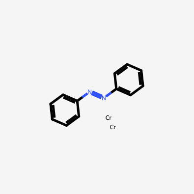 [Cr].[Cr].c1ccc(N=Nc2ccccc2)cc1